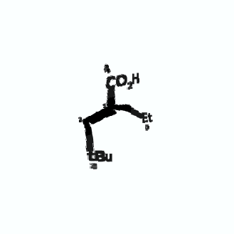 CC/C(=C\C(C)(C)C)C(=O)O